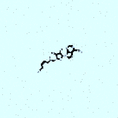 NC/C=C\CNC[C@H]1O[C@@H](n2cnc3c(N)ncnc32)[C@@H](O)C1O